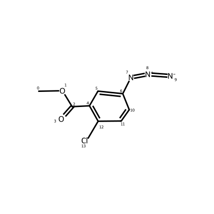 COC(=O)c1cc(N=[N+]=[N-])ccc1Cl